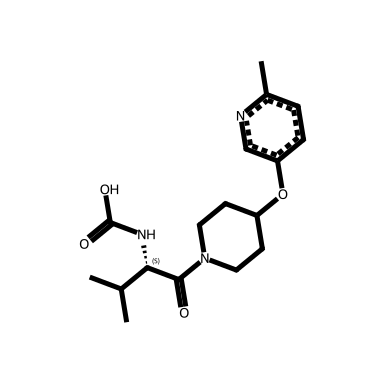 Cc1ccc(OC2CCN(C(=O)[C@@H](NC(=O)O)C(C)C)CC2)cn1